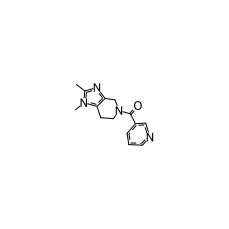 Cc1nc2c(n1C)CCN(C(=O)c1cccnc1)C2